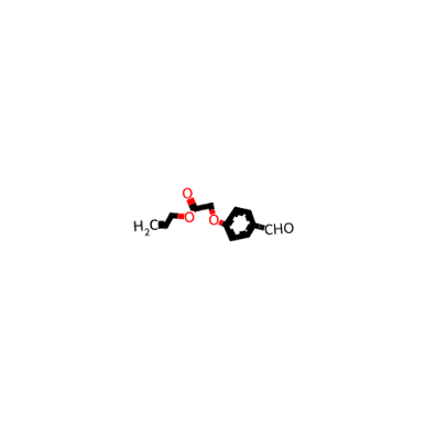 C=CCOC(=O)COc1ccc(C=O)cc1